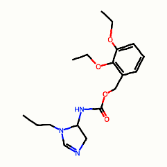 CCCN1C=NCC1NC(=O)OCc1cccc(OCC)c1OCC